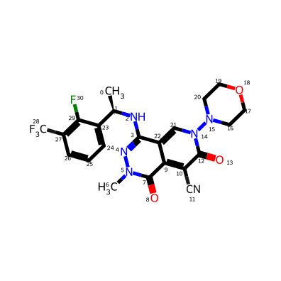 C[C@@H](Nc1nn(C)c(=O)c2c(C#N)c(=O)n(N3CCOCC3)cc12)c1cccc(C(F)(F)F)c1F